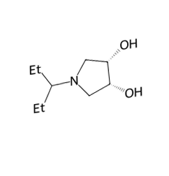 CCC(CC)N1C[C@@H](O)[C@@H](O)C1